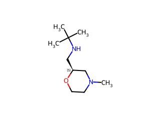 CN1CCO[C@@H](CNC(C)(C)C)C1